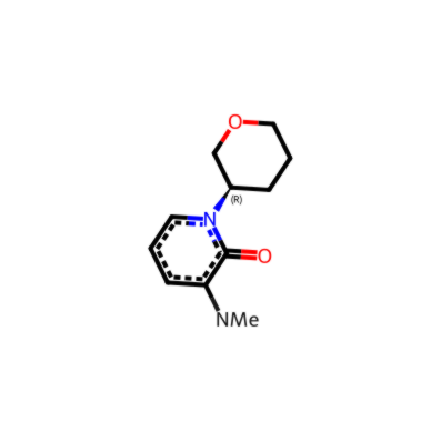 CNc1cccn([C@@H]2CCCOC2)c1=O